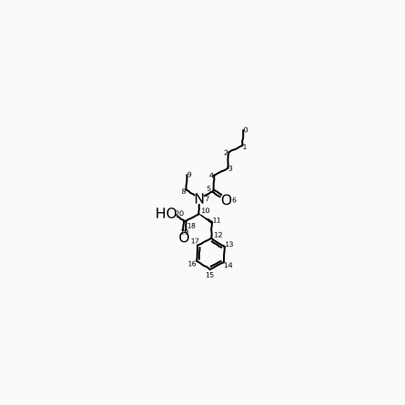 CCCCCC(=O)N(CC)[C@@H](Cc1ccccc1)C(=O)O